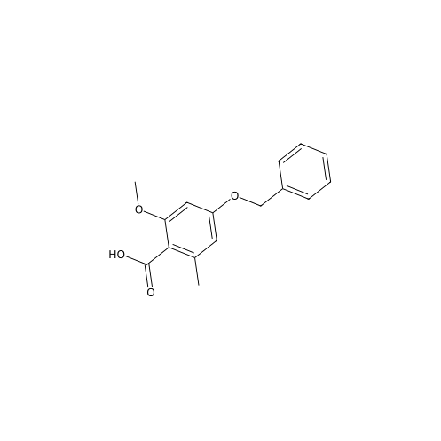 COc1cc(OCc2ccccc2)cc(C)c1C(=O)O